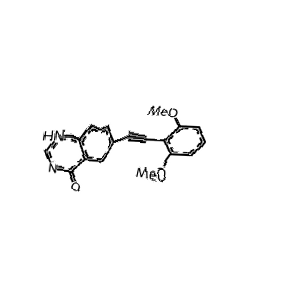 COc1cccc(OC)c1C#Cc1ccc2[nH]cnc(=O)c2c1